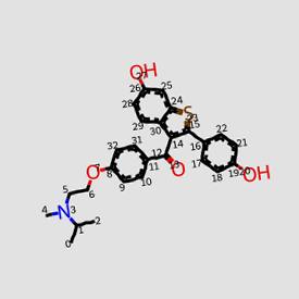 CC(C)N(C)CCOc1ccc(C(=O)c2c(-c3ccc(O)cc3)sc3cc(O)ccc23)cc1